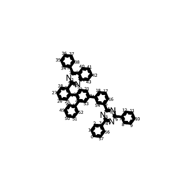 c1ccc(-c2nc(-c3ccccc3)nc(-c3cccc(-c4ccc(-c5ccccc5-c5nc(-c6ccccc6)c6ccccc6n5)c(-c5ccccc5)c4)c3)n2)cc1